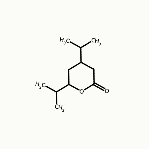 CC(C)C1CC(=O)OC(C(C)C)C1